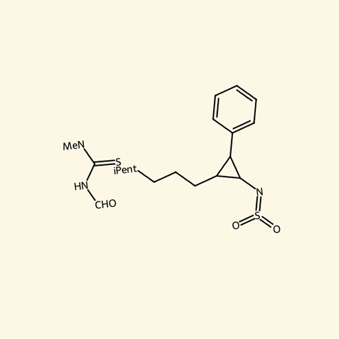 CCCC(C)CCCC1C(N=S(=O)=O)C1c1ccccc1.CNC(=S)NC=O